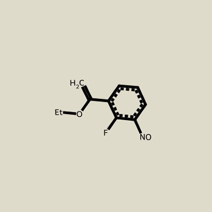 C=C(OCC)c1cccc(N=O)c1F